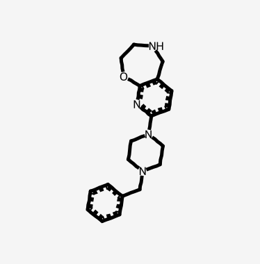 c1ccc(CN2CCN(c3ccc4c(n3)OCCNC4)CC2)cc1